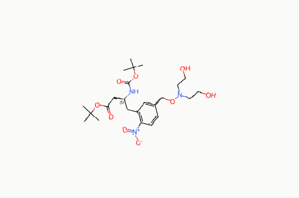 CC(C)(C)OC(=O)C[C@H](Cc1cc(CON(CCO)CCO)ccc1[N+](=O)[O-])NC(=O)OC(C)(C)C